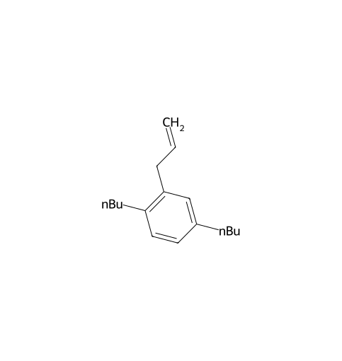 C=CCc1cc(CCCC)ccc1CCCC